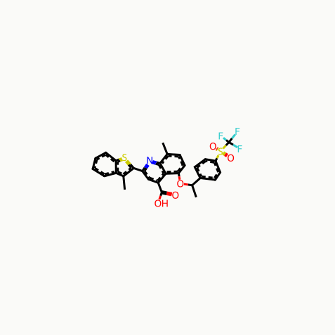 Cc1c(-c2cc(C(=O)O)c3c(OC(C)c4ccc(S(=O)(=O)C(F)(F)F)cc4)ccc(C)c3n2)sc2ccccc12